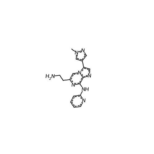 Cn1cc(-c2cnc3c(Nc4ccccn4)nc(CCN)cn23)cn1